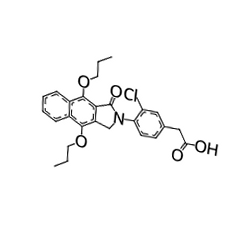 CCCOc1c2c(c(OCCC)c3ccccc13)C(=O)N(c1ccc(CC(=O)O)cc1Cl)C2